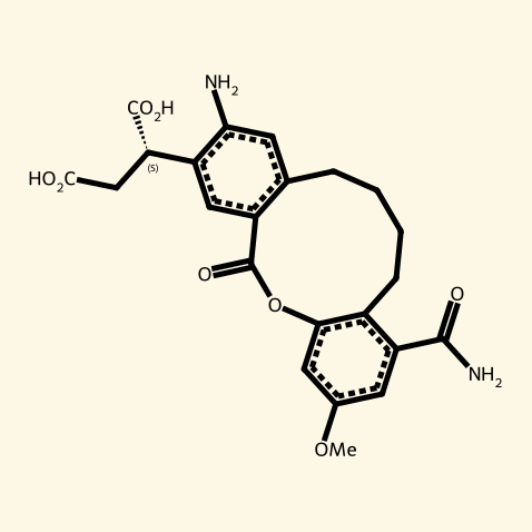 COc1cc2c(c(C(N)=O)c1)CCCCc1cc(N)c([C@H](CC(=O)O)C(=O)O)cc1C(=O)O2